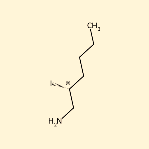 CCCC[C@@H](I)CN